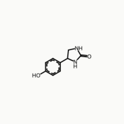 O=C1NCC(c2ccc(O)cc2)N1